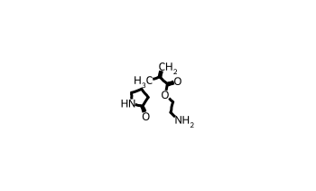 C=C(C)C(=O)OCCN.O=C1CCCN1